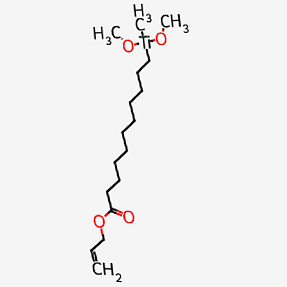 C=CCOC(=O)CCCCCCCCC[CH2][Ti]([CH3])([O]C)[O]C